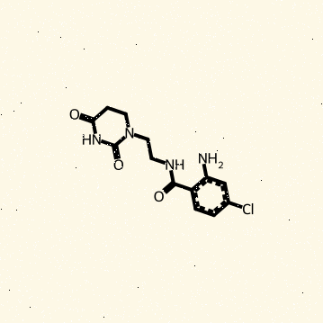 Nc1cc(Cl)ccc1C(=O)NCCN1CCC(=O)NC1=O